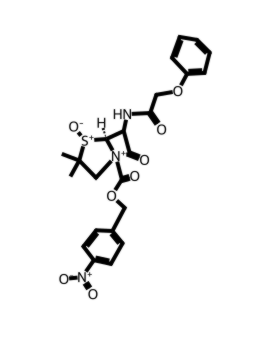 CC1(C)C[N+]2(C(=O)OCc3ccc([N+](=O)[O-])cc3)C(=O)C(NC(=O)COc3ccccc3)[C@@H]2[S+]1[O-]